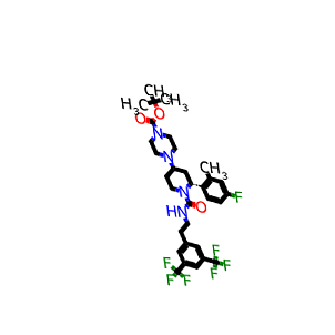 Cc1cc(F)ccc1[C@H]1CC(N2CCN(C(=O)OC(C)(C)C)CC2)CCN1C(=O)NCCc1cc(C(F)(F)F)cc(C(F)(F)F)c1